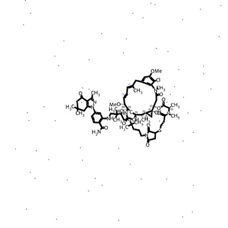 COc1cc2cc(c1Cl)N(C)C(=O)C[C@H](OC(=O)[C@H](C)N(C)C(=O)CCSC1CC(=O)N(CCCC(C)(C)OCCC(C)(C)CNc3cc(-n4nc(C)c5c4CC(C)(C)CC5=O)ccc3C(N)=O)C1=O)[C@@]1(C)C[C@H]1[C@H](C)[C@@H]1C[C@@](O)(NC(=O)O1)[C@H](OC)/C=C/C=C(\C)C2